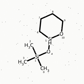 C[Si](C)(C)O[SiH]1CCCCO1